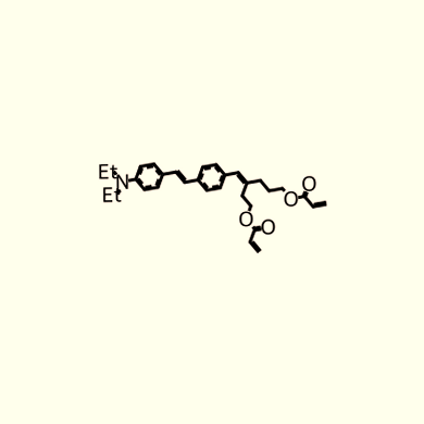 C=CC(=O)OCCC/C(=C/c1ccc(/C=C/c2ccc(N(CC)CC)cc2)cc1)CCOC(=O)C=C